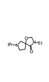 CCN1COC2(CCN(C(C)C)C2)C1=O